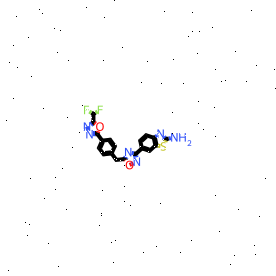 Nc1nc2ccc(-c3noc(Cc4ccc(-c5nnc(C(F)F)o5)cc4)n3)cc2s1